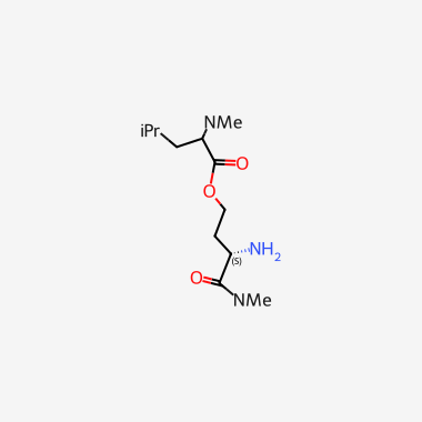 CNC(=O)[C@@H](N)CCOC(=O)C(CC(C)C)NC